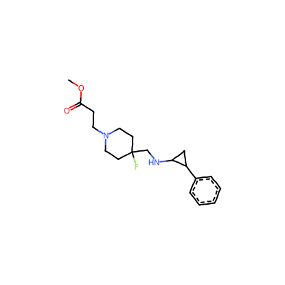 COC(=O)CCN1CCC(F)(CNC2CC2c2ccccc2)CC1